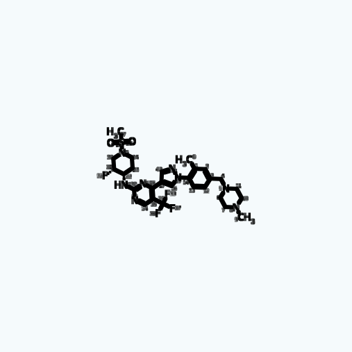 Cc1cc(CN2CCN(C)CC2)ccc1-n1cc(-c2nc(N[C@H]3CCN(S(C)(=O)=O)C[C@H]3F)ncc2C(F)(F)F)cn1